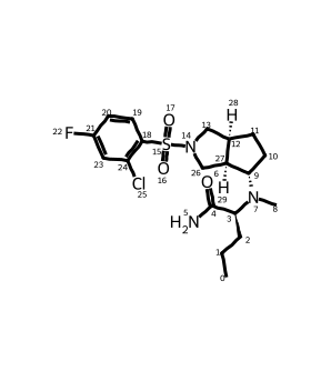 CCC[C@@H](C(N)=O)N(C)[C@H]1CC[C@@H]2CN(S(=O)(=O)c3ccc(F)cc3Cl)C[C@@H]21